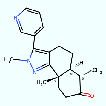 C[C@@H]1C(=O)CC[C@]2(C)c3nn(C)c(-c4cccnc4)c3CC[C@@H]12